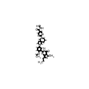 CCCc1nn(C)c2c(=O)[nH]c(-c3cc(N4CCC5(CCCN(c6ncc(C(=O)NO)cn6)C5)C4)ccc3OCC)nc12